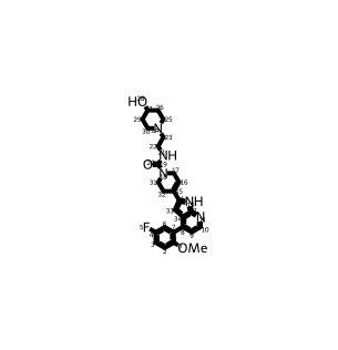 COc1ccc(F)cc1-c1ccnc2[nH]c(C3=CCN(C(=O)NCCN4CCC(O)CC4)CC3)cc12